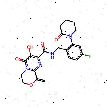 C=C1OCCn2c1nc(C(=O)NCc1ccc(F)cc1N1CCCCC1=O)c(O)c2=O